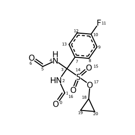 O=CNC(NC=O)(c1ccc(F)cc1)S(=O)(=O)OC1CC1